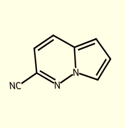 N#Cc1ccc2cccn2n1